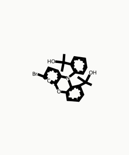 CC(C)(O)c1ccccc1N1c2ccc(Br)cc2Oc2cccc(C(C)(C)O)c21